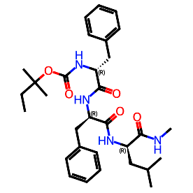 CCC(C)(C)OC(=O)N[C@H](Cc1ccccc1)C(=O)N[C@H](Cc1ccccc1)C(=O)N[C@H](CC(C)C)C(=O)NC